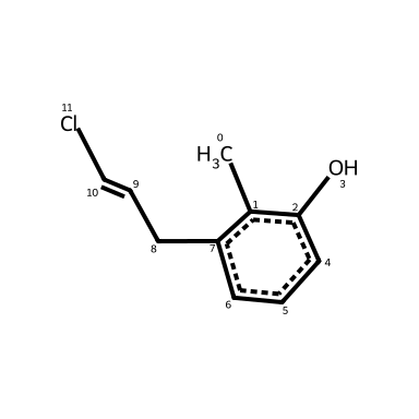 Cc1c(O)cccc1CC=CCl